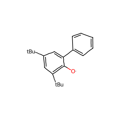 CC(C)(C)c1cc(-c2ccccc2)c([O])c(C(C)(C)C)c1